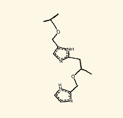 CC(C)OCc1cnc(CC(C)OCc2ncc[nH]2)[nH]1